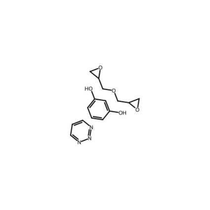 C(OCC1CO1)C1CO1.Oc1cccc(O)c1.c1cnnnc1